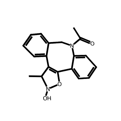 CC(=O)N1Cc2ccccc2C2=C(ON(O)C2C)c2ccccc21